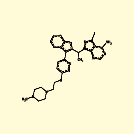 CC(c1cc2ccccn2c1-c1ccc(OCCN2CCN(C)CC2)nn1)n1nc(I)c2c(N)ncnc21